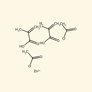 C=C(C)C(=O)O.C=C(C)C(=O)O.CC(=O)[O-].CC(=O)[O-].[Zn+2]